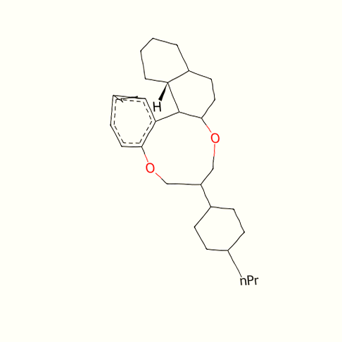 CCCC1CCC(C2COc3ccc4c(c3C3C(CCC5CCCC[C@H]53)OC2)CCCC4)CC1